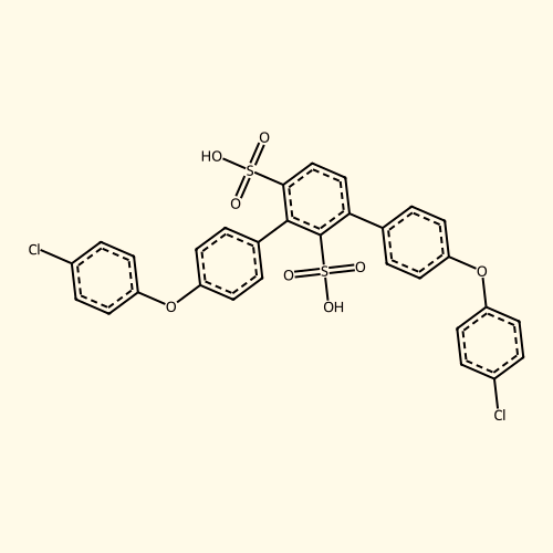 O=S(=O)(O)c1ccc(-c2ccc(Oc3ccc(Cl)cc3)cc2)c(S(=O)(=O)O)c1-c1ccc(Oc2ccc(Cl)cc2)cc1